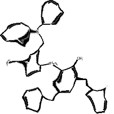 Oc1c(CC2C=CC=CC2)cc(CC2C=CC=CC2)cc1Pc1ccc(F)cc1CN(c1ccccc1)c1ccccc1